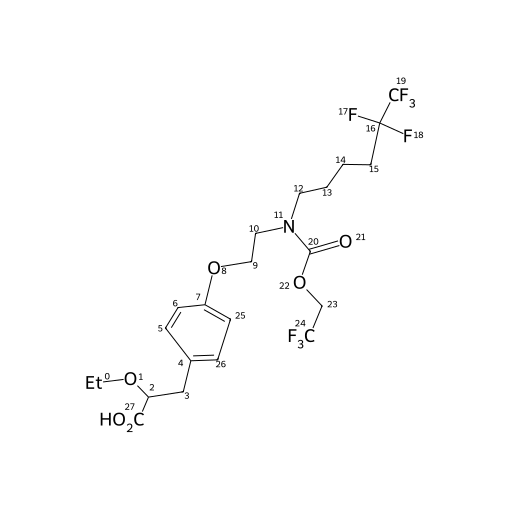 CCOC(Cc1ccc(OCCN(CCCCC(F)(F)C(F)(F)F)C(=O)OCC(F)(F)F)cc1)C(=O)O